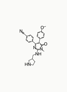 COc1ccc(-c2c(-c3ccc(C#N)cc3)nc(NCC3CCNC3)n(C)c2=O)cc1